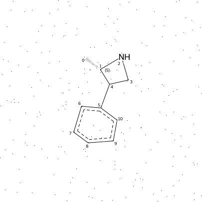 C[C@@H]1NCC1c1ccccc1